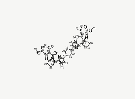 COC(=O)N[C@H](C(=O)N1C2CCC(C2)[C@H]1c1nc(-c2ccc(-c3c[nH]c([C@@H]4C5CCC(C5)N4C(=O)[C@@H](NC(=O)OC)C(C)C)n3)cc2)c[nH]1)C(C)C